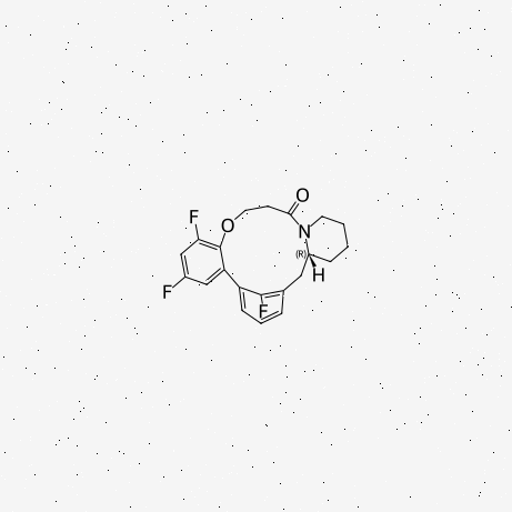 O=C1CCOc2c(F)cc(F)cc2-c2cccc(c2F)C[C@H]2CCCCN12